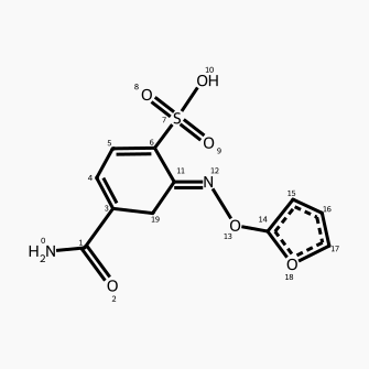 NC(=O)C1=CC=C(S(=O)(=O)O)C(=NOc2ccco2)C1